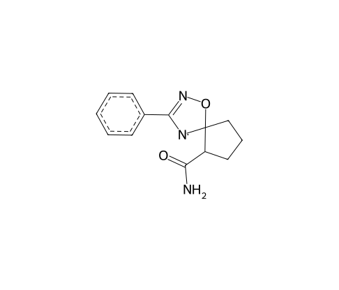 NC(=O)C1CCCC12[N]C(c1ccccc1)=NO2